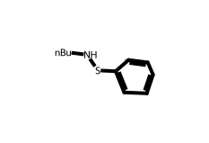 CCCCNSc1[c]cccc1